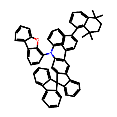 CC1(C)CCC(C)(C)c2c(-c3ccc(-c4cc5c(cc4N(c4ccccc4)c4cccc6c4oc4ccccc46)C4(c6ccccc6-c6ccccc64)c4ccccc4-5)cc3)cccc21